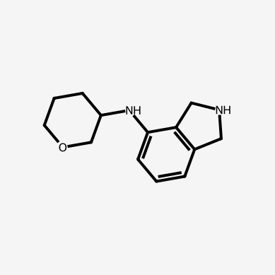 c1cc2c(c(NC3CCCOC3)c1)CNC2